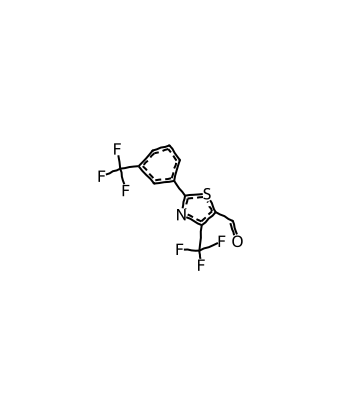 O=Cc1sc(-c2cccc(C(F)(F)F)c2)nc1C(F)(F)F